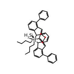 CCC[CH2][Hf]([CH3])(=[SiH2])([CH2]CCC)([c]1ccccc1)([CH]1C(C)=Cc2c(-c3ccccc3)cccc21)[CH]1C(C)=Cc2c(-c3ccccc3)cccc21